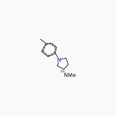 CN[C@H]1CCN(c2ccc(C)cc2)C1